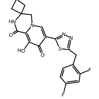 O=C1NC2(CCC2)Cn2cc(-c3nnc(Cc4ccc(F)cc4F)s3)c(=O)c(O)c21